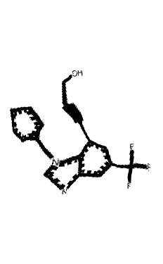 OCC#Cc1cc(C(F)(F)F)cc2ncn(-c3ccccc3)c12